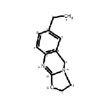 CCc1ccc2c(c1)CN1CCOC1=N2